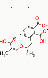 CC(=COC(C)Cc1cccc(C(=O)O)c1C(=O)O)C(=O)O